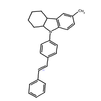 Cc1ccc2c(c1)C1CCCCC1N2c1ccc(/C=C/c2ccccc2)cc1